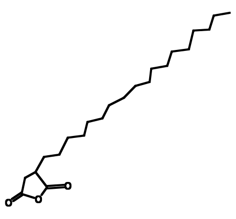 CCCCCCCCCCCCCCCCCCC1CC(=O)OC1=O